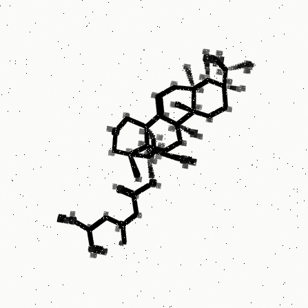 COC(CN(C)CC(=O)O[C@H]1[C@H](OC(C)=O)C[C@@]23COC[C@]1(C)[C@@H]2CC[C@H]1C3=CC[C@@]2(C)[C@H](C(=O)O)[C@@](C)([C@H](C)C(C)C)CC[C@]12C)OC